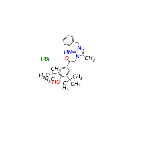 Br.Cc1cn(Cc2ccccc2)c(=N)n1CC(=O)c1cc(C(C)(C)C)c(O)c(C(C)(C)C)c1